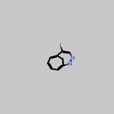 IC1=CN=NC2=CC=CC=C1C2